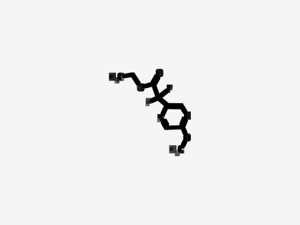 CCOC(=O)C(F)(F)c1cnc(OC)cn1